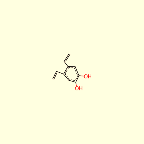 C=Cc1cc(O)c(O)cc1C=C